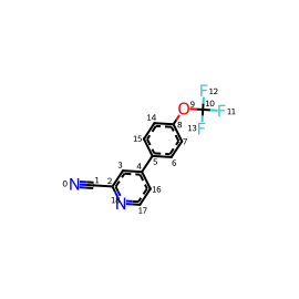 N#Cc1cc(-c2ccc(OC(F)(F)F)cc2)ccn1